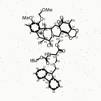 COCOc1c(OC)c(C)cc2c1[C@@H]1C3CC4(O)C(=O)C(C)=C5OCOC5=C4[C@H](COC(=O)[C@@H](CSCC4c5ccccc5-c5ccccc54)NC(=O)OC(C)(C)C)N3C(C#N)[C@H](C2)N1C